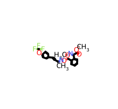 CO/N=C(/C(=O)OC)c1ccccc1CO/N=C(\C)C#Cc1ccc(OC(F)(F)F)cc1